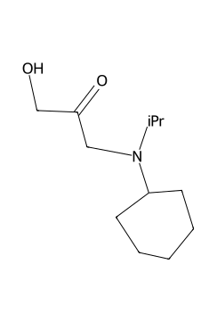 CC(C)N(CC(=O)CO)C1CCCCC1